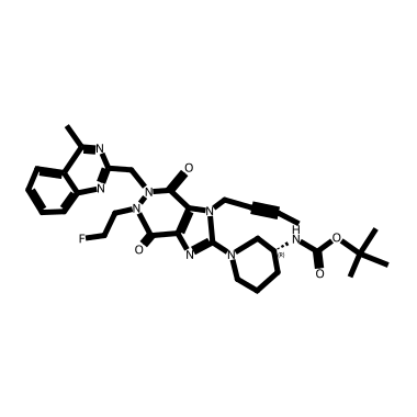 CC#CCn1c(N2CCC[C@@H](NC(=O)OC(C)(C)C)C2)nc2c(=O)n(CCF)n(Cc3nc(C)c4ccccc4n3)c(=O)c21